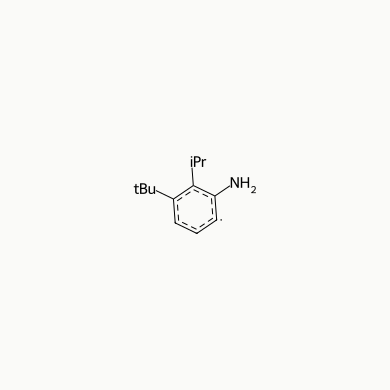 CC(C)c1c(N)[c]ccc1C(C)(C)C